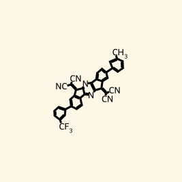 Cc1cccc(-c2ccc3c(c2)C(=C(C#N)C#N)c2nc4c(nc2-3)C(=C(C#N)C#N)c2cc(-c3cccc(C(F)(F)F)c3)ccc2-4)c1